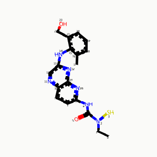 CCN(S)C(=O)Nc1ccc2ncc(Nc3c(C)cccc3CO)nc2n1